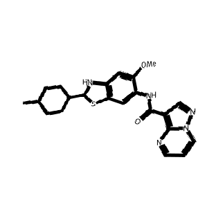 COc1cc2c(cc1NC(=O)c1cnn3cccnc13)SC(C1CCC(C)CC1)N2